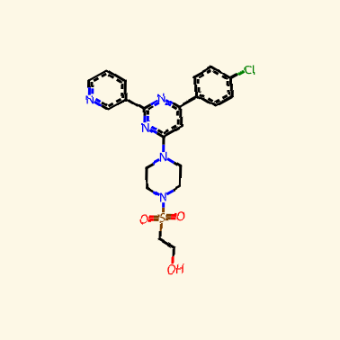 O=S(=O)(CCO)N1CCN(c2cc(-c3ccc(Cl)cc3)nc(-c3cccnc3)n2)CC1